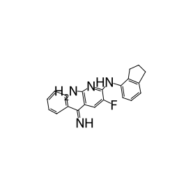 N=C(c1ccccc1)c1cc(F)c(Nc2cccc3c2CCC3)nc1N